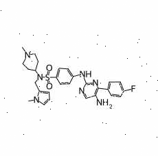 CN1CCC(N(Cc2cccn2C)S(=O)(=O)c2ccc(Nc3ncc(N)c(-c4ccc(F)cc4)n3)cc2)CC1